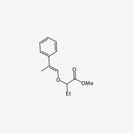 CCC(OC=C(C)c1ccccc1)C(=O)OC